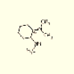 CNC1CCCC[C@H]1N(C)C